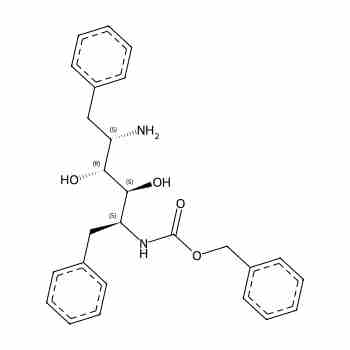 N[C@@H](Cc1ccccc1)[C@@H](O)[C@@H](O)[C@H](Cc1ccccc1)NC(=O)OCc1ccccc1